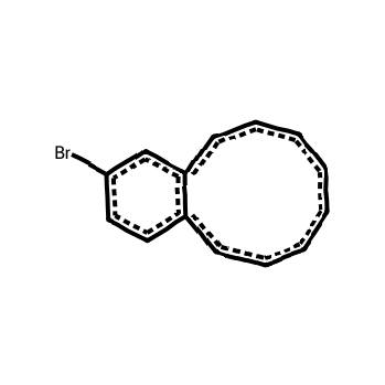 Brc1ccc2ccccccccc2c1